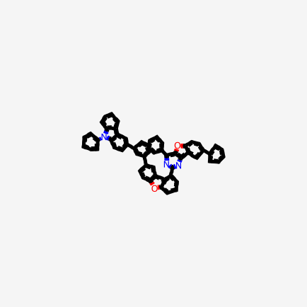 c1ccc(-c2ccc3oc4c(-c5ccccc5)nc(-c5cccc6oc7ccc(-c8cccc(-c9ccc%10c(c9)c9ccccc9n%10-c9ccccc9)c8)cc7c56)nc4c3c2)cc1